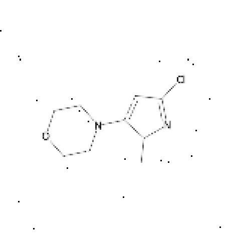 CC1N=C(Cl)C=C1N1CCOCC1